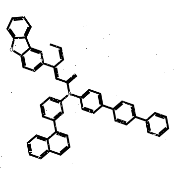 C=C(/C=C(\C=C/C)c1ccc2oc3ccccc3c2c1)N(c1ccc(-c2ccc(-c3ccccc3)cc2)cc1)c1cccc(-c2cccc3ccccc23)c1